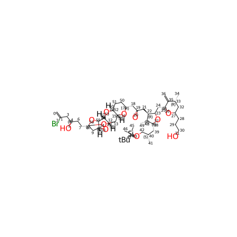 C=C(Br)C[C@H](O)CC[C@@]12C[C@H]3O[C@H]4C(O1)[C@H]1O[C@@H](CC(=O)C[C@H]5C(C[C@H]6OC(CCCO)C[C@@H](C)C6=C)O[C@H](C[C@H](C)CO[Si](C)(C)C(C)(C)C)[C@@H]5C)CC[C@@H]1O[C@H]4C3O2